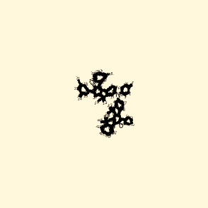 Cc1ccc(N(c2ccc3c(c2)C(C)(C)c2cc(-c4cc(C)cc(C)c4)c4oc5ccccc5c4c2-3)c2ccc3c(c2)C(C)(C)c2c4c(c5oc6ccccc6c5c2-3)-c2ccccc2C4(C)C)cc1